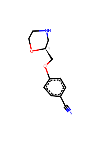 N#Cc1ccc(OC[C@@H]2CNCCO2)cc1